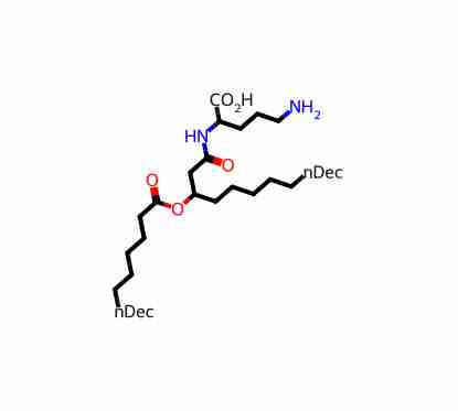 CCCCCCCCCCCCCCCC(=O)OC(CCCCCCCCCCCCCCC)CC(=O)NC(CCCN)C(=O)O